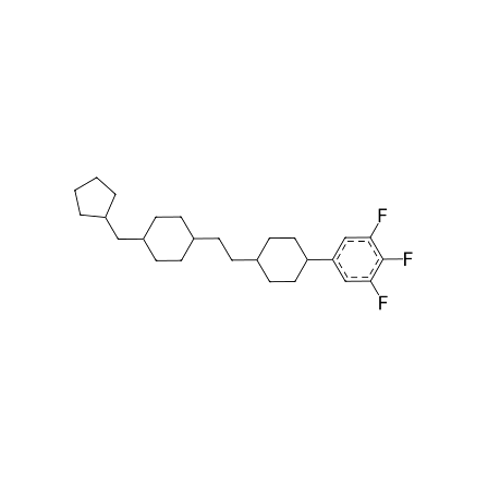 Fc1cc(C2CCC(CCC3CCC(CC4CCCC4)CC3)CC2)cc(F)c1F